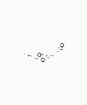 CC(C)(C)OC(=O)CCOCCOc1ccc(C[C@H](NC(=O)CCOCCN2C(=O)c3ccccc3C2=O)C(=O)OCc2ccccc2)cc1